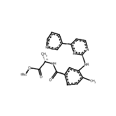 Cc1ccc(C(=O)N[C@@H](C)C(=O)OC(C)(C)C)cc1Nc1nccc(-c2cccnc2)n1